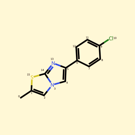 Cc1cn2cc(-c3ccc(Cl)cc3)nc2s1